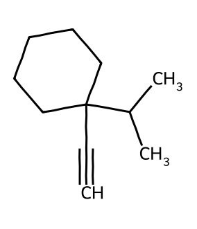 C#CC1(C(C)C)CCCCC1